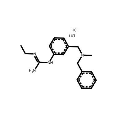 CCN=C(N)Nc1cccc(CN(C)Cc2ccccc2)c1.Cl.Cl